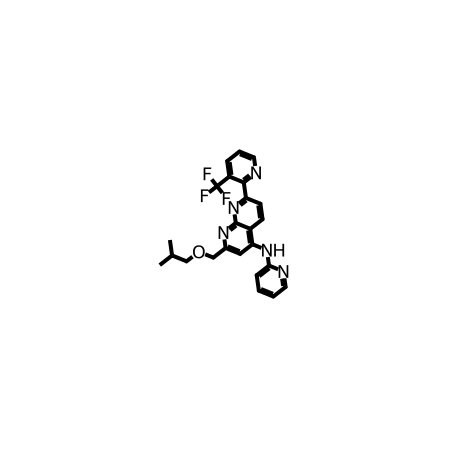 CC(C)COCc1cc(Nc2ccccn2)c2ccc(-c3ncccc3C(F)(F)F)nc2n1